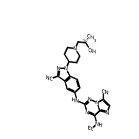 CCNc1nc(Nc2ccc3c(c2)c(C#N)nn3C2CCN(C[C@H](C)O)CC2)nn2c(C#N)cnc12